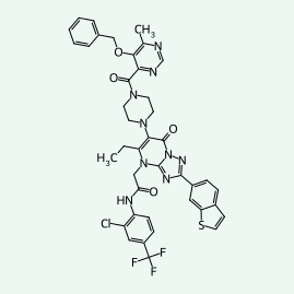 CCc1c(N2CCN(C(=O)c3ncnc(C)c3OCc3ccccc3)CC2)c(=O)n2nc(-c3ccc4ccsc4c3)nc2n1CC(=O)Nc1ccc(C(F)(F)F)cc1Cl